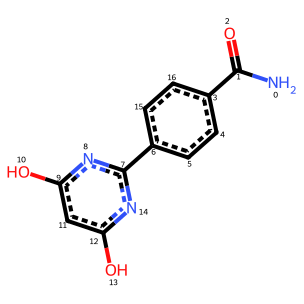 NC(=O)c1ccc(-c2nc(O)cc(O)n2)cc1